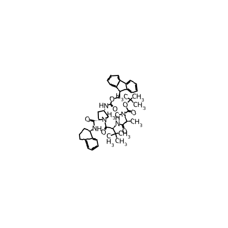 C[C@@H](C(=O)N[C@H](C(=O)N1C[C@@H](NC(=O)OCC2c3ccccc3-c3ccccc32)C[C@H]1C(=O)N[C@@H]1CCCc2ccccc21)C(C)(C)C)N(C)C(=O)OC(C)(C)C